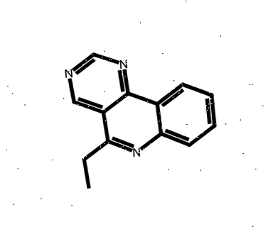 CCc1nc2ccccc2c2ncncc12